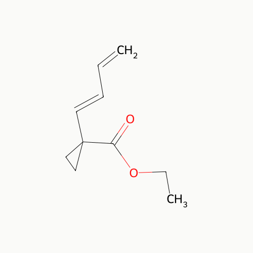 C=C/C=C/C1(C(=O)OCC)CC1